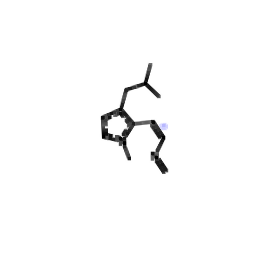 C=N/C=C\c1c(CC(C)C)ccn1C